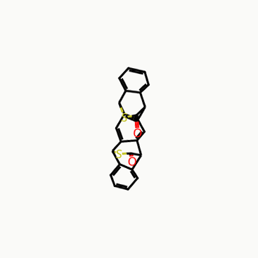 O=C1SC2c3ccccc3C1c1cc3c(cc12)C1SC(=O)C3c2ccccc21